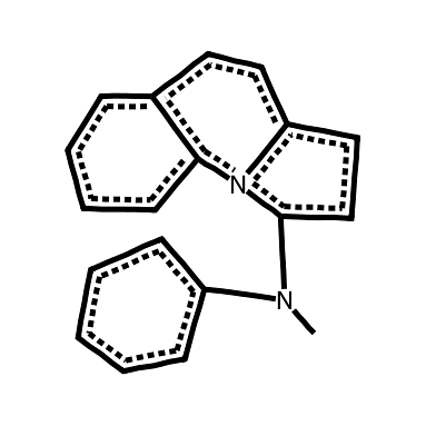 CN(c1ccccc1)c1ccc2ccc3ccccc3n12